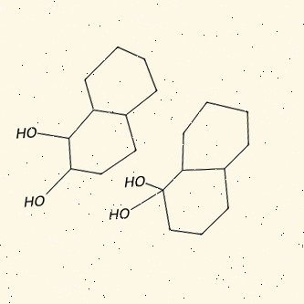 OC1(O)CCCC2CCCCC21.OC1CCC2CCCCC2C1O